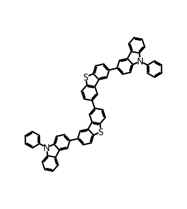 c1ccc(-n2c3ccccc3c3cc(-c4ccc5sc6ccc(-c7ccc8sc9ccc(-c%10ccc%11c(c%10)c%10ccccc%10n%11-c%10ccccc%10)cc9c8c7)cc6c5c4)ccc32)cc1